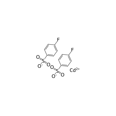 O=S(=O)([O-])c1ccc(F)cc1.O=S(=O)([O-])c1ccc(F)cc1.[Cd+2]